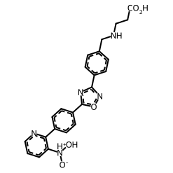 O=C(O)CCNCc1ccc(-c2noc(-c3ccc(-c4ncccc4[NH+]([O-])O)cc3)n2)cc1